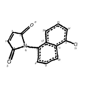 O=C1C=CC(=O)N1c1cccc2c(Cl)cccc12